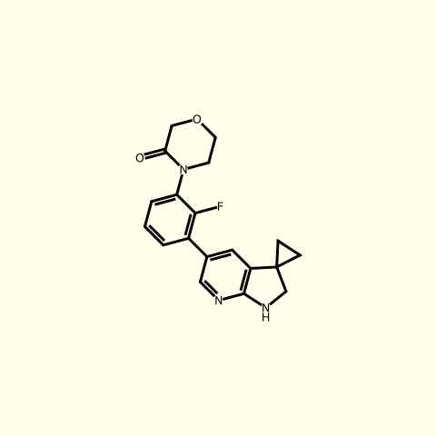 O=C1COCCN1c1cccc(-c2cnc3c(c2)C2(CC2)CN3)c1F